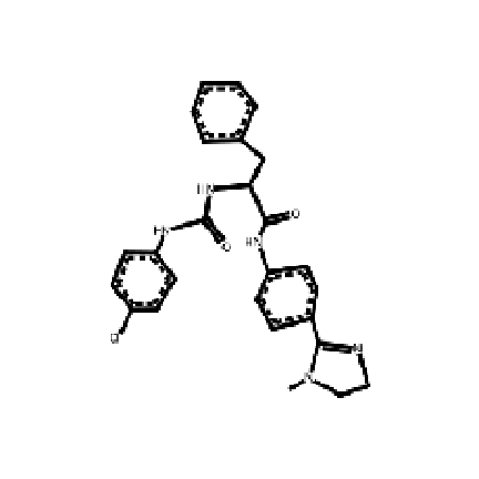 CN1CCN=C1c1ccc(NC(=O)C(Cc2ccccc2)NC(=O)Nc2ccc(Cl)cc2)cc1